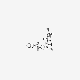 CN(c1nccc(Nc2cc(C3CC3)[nH]n2)n1)C1CCC(NC(=O)N2Cc3ccccc3C2)CC1